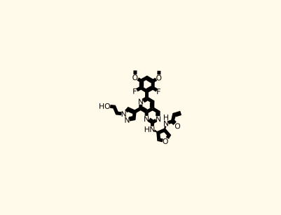 C=CC(=O)N[C@H]1COC[C@H]1Nc1ncc2cc(-c3c(F)c(OC)cc(OC)c3F)nc(-c3cnn(CCO)c3)c2n1